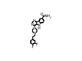 NC(=O)c1ccc2[nH]c3c(N4CCN(CCc5ccc(F)c(F)c5)CC4)ncnc3c2c1